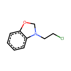 ClCCN1COc2ccccc21